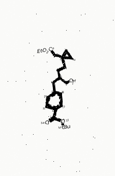 CCOC(=O)CC1(CCC(CO)Cc2ccc(C(=O)OC(C)(C)C)cc2)CC1